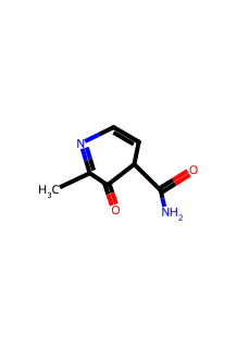 CC1=NC=CC(C(N)=O)C1=O